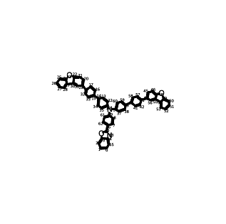 c1ccc2oc(-c3ccc(N(c4ccc(-c5ccc(-c6ccc7oc8ccccc8c7c6)cc5)cc4)c4ccc(-c5ccc(-c6ccc7oc8ccccc8c7c6)cc5)cc4)cc3)nc2c1